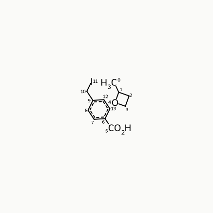 CC1CCO1.O=C(O)c1ccc(CI)cc1